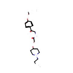 C[C@H](NC(=O)COC1CCN(CCC#N)CC1)C(=O)c1ccc(OCC(=O)O)cc1